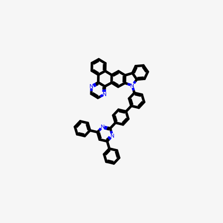 c1ccc(-c2cc(-c3ccccc3)nc(-c3ccc(-c4cccc(-n5c6ccccc6c6cc7c8ccccc8c8nccnc8c7cc65)c4)cc3)n2)cc1